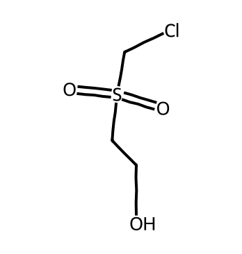 O=S(=O)(CCl)CCO